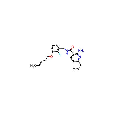 C/C=C/CCOc1cccc(CNC(=O)c2ccc(COC)nc2N)c1F